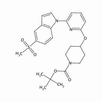 CC(C)(C)OC(=O)N1CCC(Oc2cccc(-n3ccc4cc(S(C)(=O)=O)ccc43)n2)CC1